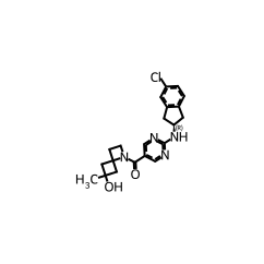 CC1(O)CC2(CCN2C(=O)c2cnc(N[C@@H]3Cc4ccc(Cl)cc4C3)nc2)C1